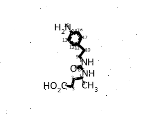 C[C@H](CCC(=O)O)NC(=O)NCCc1ccc(N)cc1